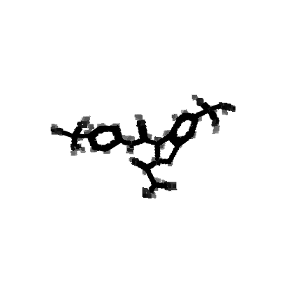 CC[C@H](O)C(=O)N1Cc2cc(S(=O)(=O)NC)ccc2[C@@H]1C(=O)Nc1ccc(C(O)(C(F)(F)F)C(F)(F)F)cc1